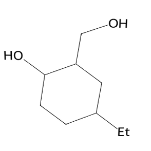 CCC1CCC(O)C(CO)C1